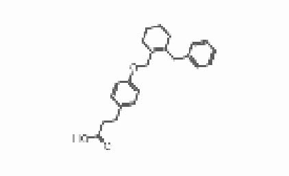 O=C(O)CCc1ccc(OCC2=C(Cc3ccccc3)CCCC2)cc1